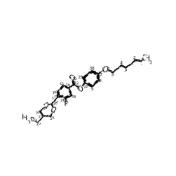 CCCCCCOc1ccc(OC(=O)c2ccc(C3OCC(CC)CO3)c(F)c2)cc1